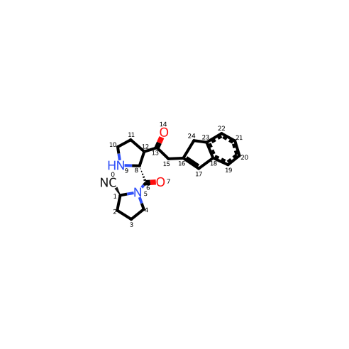 N#C[C@@H]1CCCN1C(=O)[C@@H]1NCCC1C(=O)CC1=Cc2ccccc2C1